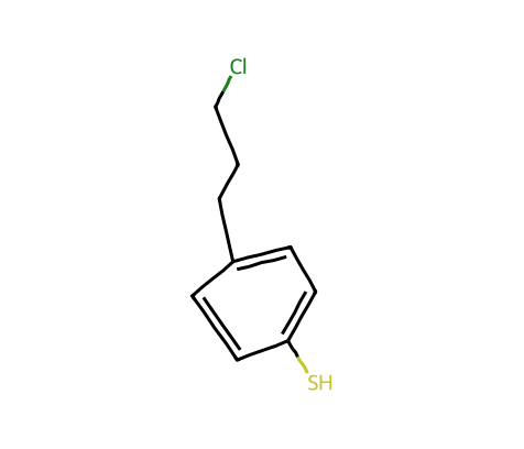 Sc1ccc(CCCCl)cc1